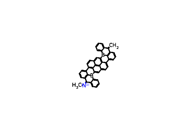 C=C1c2ccccc2B2c3c1cccc3-c1ccc3cc4c5c(ccc6cc2c1c3c65)-c1cccc2c1B4c1ccccc1/C2=N/C